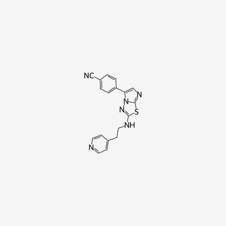 N#Cc1ccc(-c2cnc3sc(NCCc4ccncc4)nn23)cc1